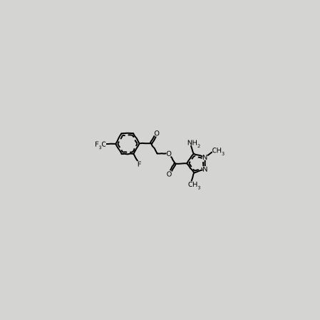 Cc1nn(C)c(N)c1C(=O)OCC(=O)c1ccc(C(F)(F)F)cc1F